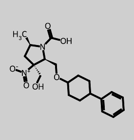 C[C@@H]1C[C@](CO)([N+](=O)[O-])[C@H](COC2CCC(c3ccccc3)CC2)N1C(=O)O